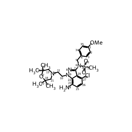 COc1ccc(CN(c2nn(CCN3CC(C)(C)OC(C)(C)C3)c3c(N)ccc(Cl)c23)S(C)(=O)=O)cc1